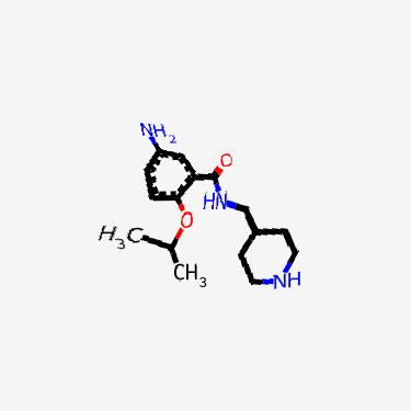 CC(C)Oc1ccc(N)cc1C(=O)NCC1CCNCC1